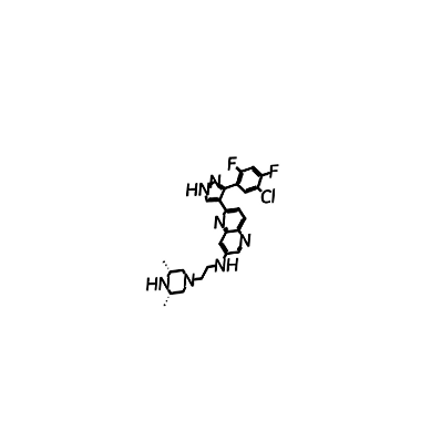 C[C@@H]1CN(CCNc2cnc3ccc(-c4c[nH]nc4-c4cc(Cl)c(F)cc4F)nc3c2)C[C@H](C)N1